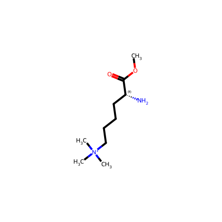 COC(=O)[C@H](N)CCCC[N+](C)(C)C